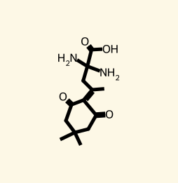 CC(CC(N)(N)C(=O)O)=C1C(=O)CC(C)(C)CC1=O